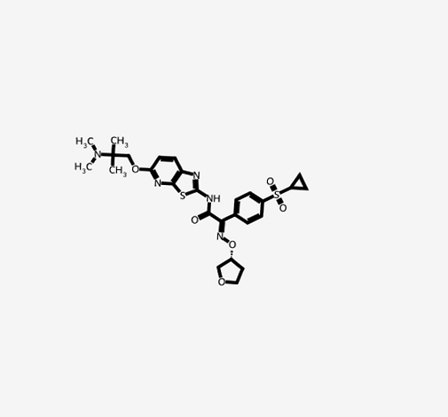 CN(C)C(C)(C)COc1ccc2nc(NC(=O)/C(=N/O[C@@H]3CCOC3)c3ccc(S(=O)(=O)C4CC4)cc3)sc2n1